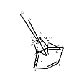 CC1CSc2ccc(c3c2SCC(C)SS3)SS1